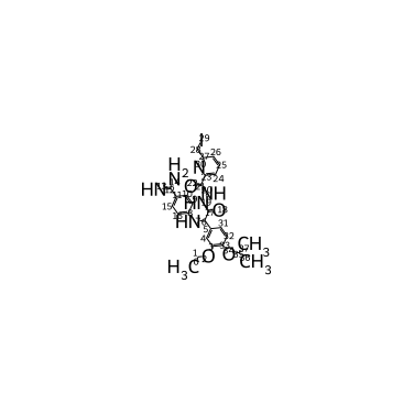 CCOc1cc(C(Nc2ccc(C(=N)N)cc2)C(=O)NNC(=O)c2cccc(CI)n2)ccc1OC(C)C